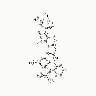 Cc1ccc(C(NC(=O)Cc2ccc3c(c2)c(I)nn3C(=O)OC(C)(C)C)c2ccccc2)c(OC(C)C)c1